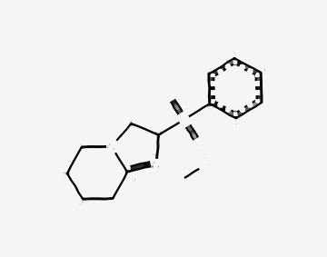 O=S(=O)(O)O.O=S(=O)(c1ccccc1)C1CN2CCCCC2=N1